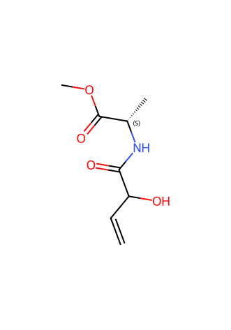 C=CC(O)C(=O)N[C@@H](C)C(=O)OC